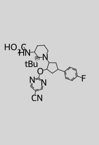 CC(C)(C)[C@@H]1C(NC(=O)O)CCCN1C1CC(c2ccc(F)cc2)CC1Oc1ncc(C#N)cn1